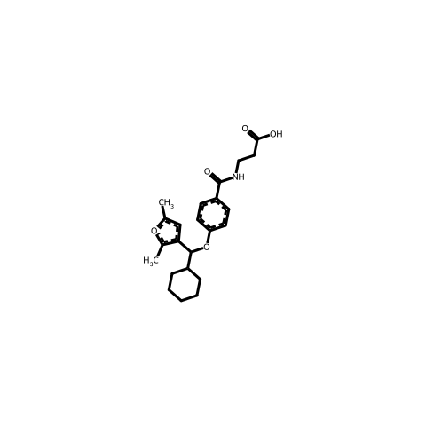 Cc1cc(C(Oc2ccc(C(=O)NCCC(=O)O)cc2)C2CCCCC2)c(C)o1